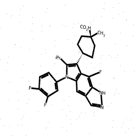 CC(C)c1c([C@H]2CC[C@](C)(C(=O)O)CC2)c2c(F)c3[nH]ncc3cc2n1-c1ccc(F)c(F)c1